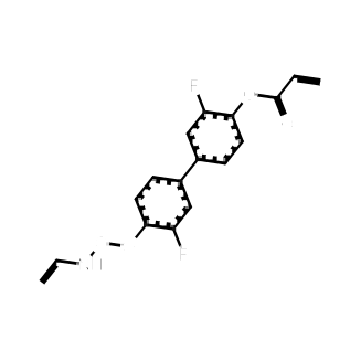 C=CNOOc1ccc(-c2ccc(OC(=O)C=C)c(F)c2)cc1F